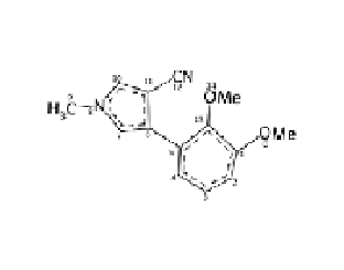 COc1cccc(-c2cn(C)cc2C#N)c1OC